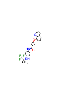 CC(N[C@H]1CC[C@H](NC(=O)[C@H]2C[C@H](Oc3cccc4cccnc34)C2)CC1)C(F)(F)F